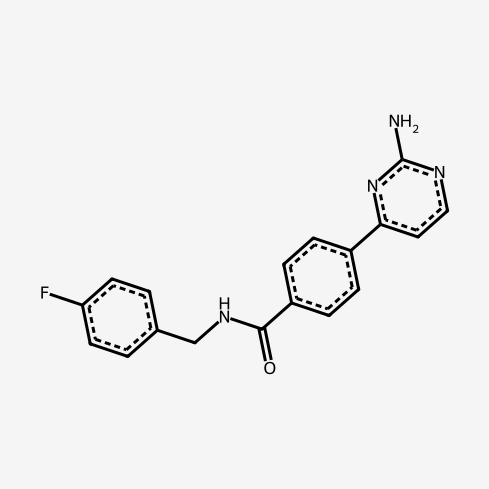 Nc1nccc(-c2ccc(C(=O)NCc3ccc(F)cc3)cc2)n1